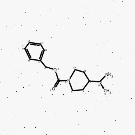 C[C@H](N)C1CCN(C(=O)OCc2ccccc2)CC1